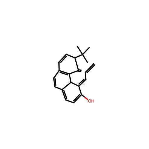 C=C/C=C1/C(O)=CC=C2C=CC3=C(C(=C)C(C(C)(C)C)C=C3)C21